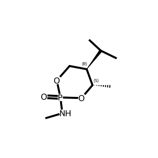 CNP1(=O)OC[C@@H](C(C)C)[C@H](C)O1